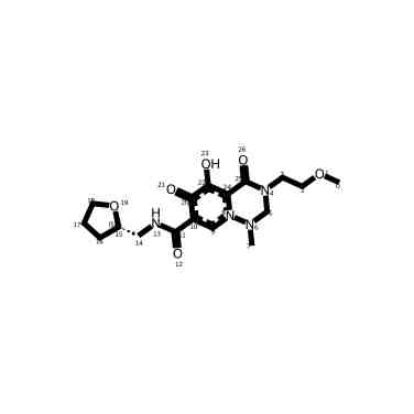 COCCN1CN(C)n2cc(C(=O)NC[C@@H]3CCCO3)c(=O)c(O)c2C1=O